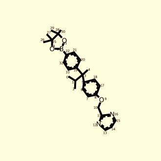 CC(C)C(C)(c1ccc(OCc2ncccn2)cc1)c1ccc(B2OC(C)(C)C(C)(C)O2)cc1